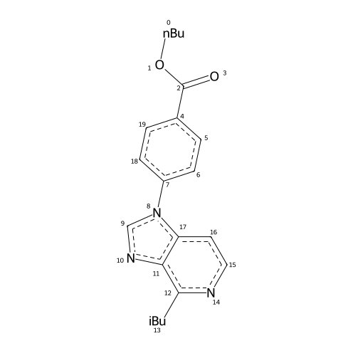 CCCCOC(=O)c1ccc(-n2cnc3c(C(C)CC)nccc32)cc1